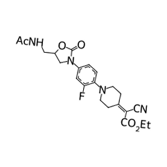 CCOC(=O)C(C#N)=C1CCN(c2ccc(N3CC(CNC(C)=O)OC3=O)cc2F)CC1